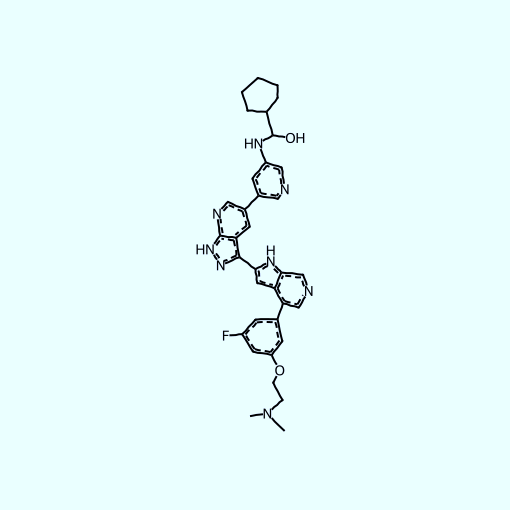 CN(C)CCOc1cc(F)cc(-c2cncc3[nH]c(-c4n[nH]c5ncc(-c6cncc(NC(O)C7CCCCC7)c6)cc45)cc23)c1